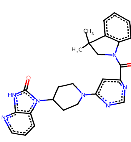 CC1(C)CN(C(=O)c2cc(N3CCC(n4c(=O)[nH]c5ncccc54)CC3)ncn2)c2ccccc21